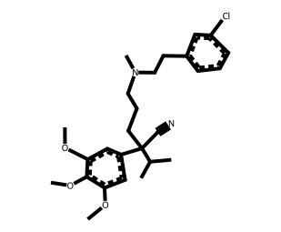 COc1cc(C(C#N)(CCCN(C)CCc2cccc(Cl)c2)C(C)C)cc(OC)c1OC